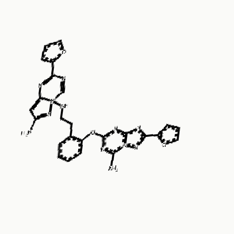 NC1=N[N+]2(NCCc3ccccc3Oc3nc(N)n4nc(-c5ccco5)nc4n3)C=NC(c3ccco3)=NC2=C1